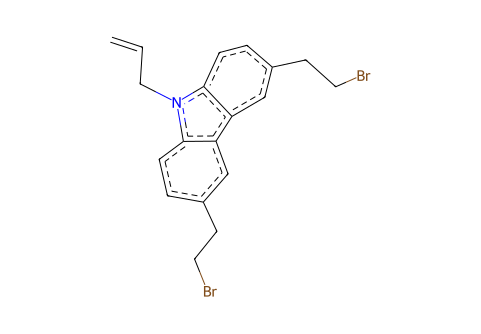 C=CCn1c2ccc(CCBr)cc2c2cc(CCBr)ccc21